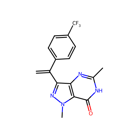 C=C(c1ccc(C(F)(F)F)cc1)c1nn(C)c2c(=O)[nH]c(C)nc12